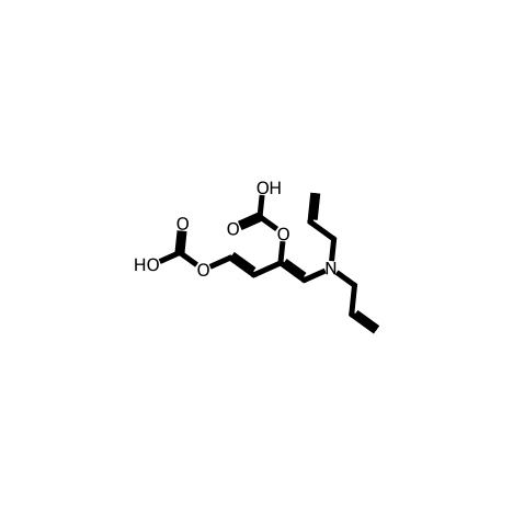 C=CCN(C=C(C=COC(=O)O)OC(=O)O)CC=C